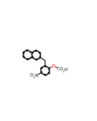 O=C(O)Oc1ccc([N+](=O)[O-])cc1Cc1ccc2ccccc2c1